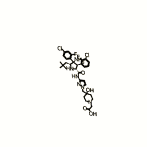 CC(C)(C)C[C@@H]1N[C@@H](C(=O)Nc2ccn(CC3(O)CCN(CC(=O)O)CC3)n2)[C@H](c2cccc(Cl)c2F)[C@@]1(N)c1ccc(Cl)cc1F